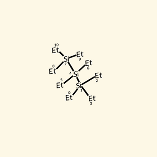 CC[Si](CC)(CC)[Si](CC)(CC)[Si](CC)(CC)CC